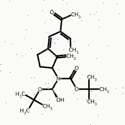 C=C1/C(=C\C(=C/C)C(C)=O)CCC1N(C(=O)OC(C)(C)C)[C@@H](O)OC(C)(C)C